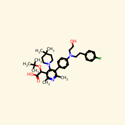 Cc1nc(C)c(C(OC(C)(C)C)C(=O)O)c(N2CCC(C)(C)CC2)c1-c1ccc(N(CCO)CCc2ccc(F)cc2)cc1